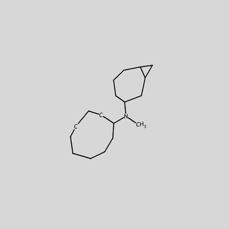 CN(C1CCCCCCCC1)C1CCCC2CC2C1